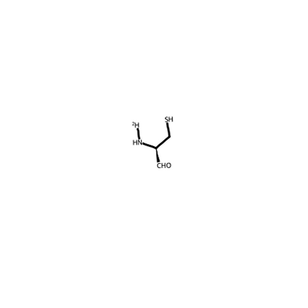 [2H]N[C@H](C=O)CS